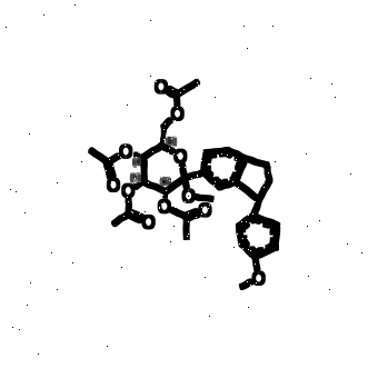 COc1ccc(C2CCc3ccc(C4(OC)O[C@H](COC(C)=O)[C@@H](OC(C)=O)[C@H](OC(C)=O)[C@H]4OC(C)=O)cc32)cc1